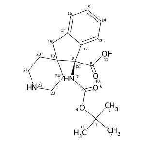 CC(C)(C)OC(=O)N[C@]1(C(=O)O)c2ccccc2CC12CCNCC2